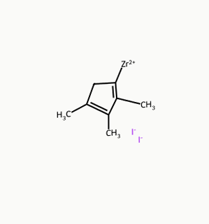 CC1=C(C)C(C)=[C]([Zr+2])C1.[I-].[I-]